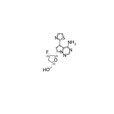 Nc1ncnn2c([C@@H]3O[C@H](CO)C[C@@H]3F)cc(-c3nccs3)c12